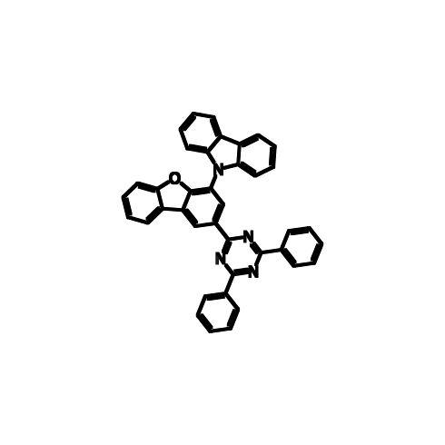 c1ccc(-c2nc(-c3ccccc3)nc(-c3cc(-n4c5ccccc5c5ccccc54)c4oc5ccccc5c4c3)n2)cc1